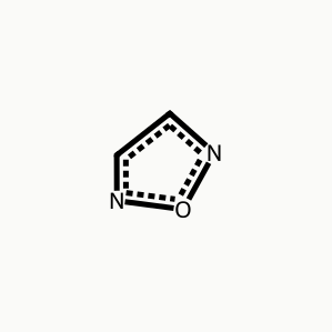 c1cnon1